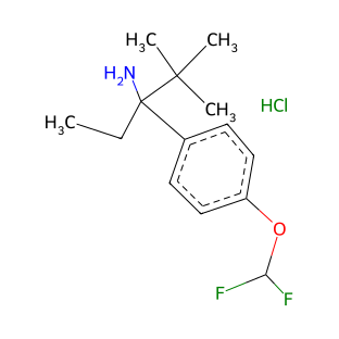 CCC(N)(c1ccc(OC(F)F)cc1)C(C)(C)C.Cl